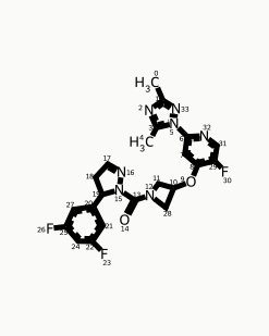 Cc1nc(C)n(-c2cc(OC3CN(C(=O)N4N=CCC4c4cc(F)cc(F)c4)C3)c(F)cn2)n1